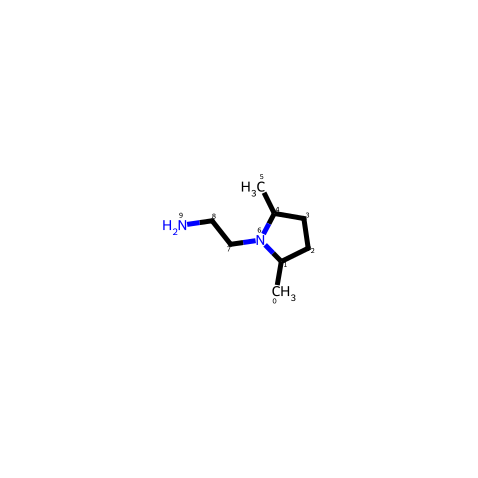 CC1CCC(C)N1CCN